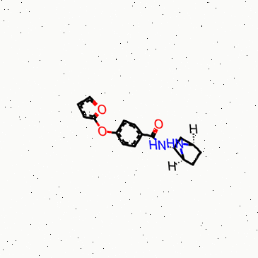 O=C(N[C@@H]1C[C@H]2CC[C@@H]1N2)c1ccc(Oc2ccco2)cc1